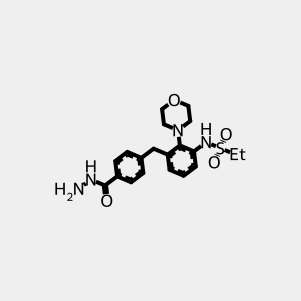 CCS(=O)(=O)Nc1cccc(Cc2ccc(C(=O)NN)cc2)c1N1CCOCC1